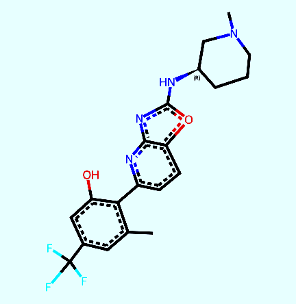 Cc1cc(C(F)(F)F)cc(O)c1-c1ccc2oc(N[C@@H]3CCCN(C)C3)nc2n1